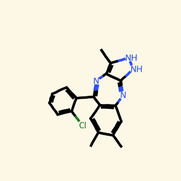 CC1=C2N=C(c3ccccc3Cl)c3cc(C)c(C)cc3N=C2NN1